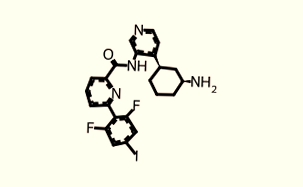 N[C@H]1CCC[C@@H](c2ccncc2NC(=O)c2cccc(-c3c(F)cc(I)cc3F)n2)C1